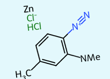 CNc1cc(C)ccc1[N+]#N.Cl.[Cl-].[Zn]